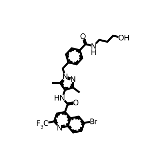 Cc1nn(Cc2ccc(C(=O)NCCCO)cc2)c(C)c1NC(=O)c1cc(C(F)(F)F)nc2ccc(Br)cc12